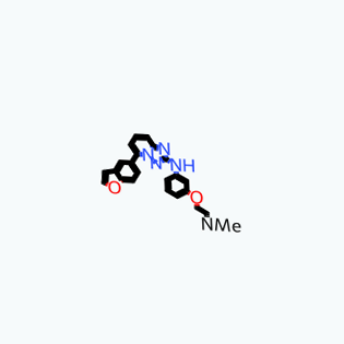 CNCCOc1cccc(Nc2nc3cccc(-c4ccc5occc5c4)n3n2)c1